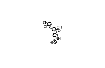 O=C(O)[C@]1(Cc2cccc(Nc3cc[nH]n3)n2)CC[C@@H](Sc2cccc(Cl)c2Cl)CC1